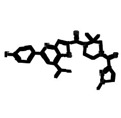 CC(C)c1cc(-c2ccc(F)cc2)nc2cc(C(=O)N3CCN(C(=O)c4ccn(C)n4)CC3(C)C)oc12